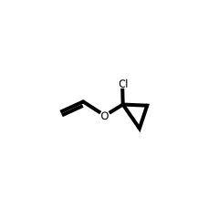 C=COC1(Cl)CC1